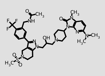 CC(=O)NCc1cc(-c2nn(CC(O)CN3CCC(n4c(=O)n(C)c5ccc(N(C)C)nc54)CC3)c3c2CN(S(C)(=O)=O)CC3)ccc1C(F)(F)F